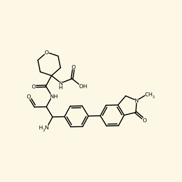 CN1Cc2cc(-c3ccc(C(N)C(C=O)NC(=O)C4(NC(=O)O)CCOCC4)cc3)ccc2C1=O